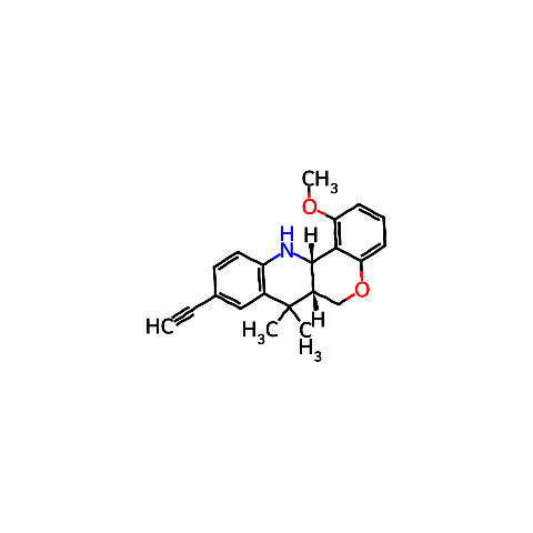 C#Cc1ccc2c(c1)C(C)(C)[C@H]1COc3cccc(OC)c3[C@H]1N2